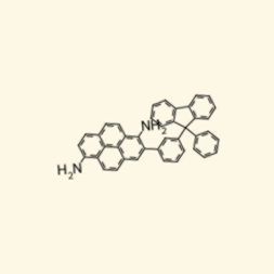 Nc1ccc2ccc3c(N)c(-c4cccc(C5(c6ccccc6)c6ccccc6-c6ccccc65)c4)cc4ccc1c2c43